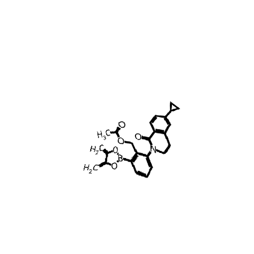 C=C1OB(c2cccc(N3CCc4cc(C5CC5)ccc4C3=O)c2COC(C)=O)OC1=C